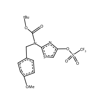 COc1ccc(CN(C(=O)OC(C)(C)C)c2nc(OS(=O)(=O)C(F)(F)F)cs2)cc1